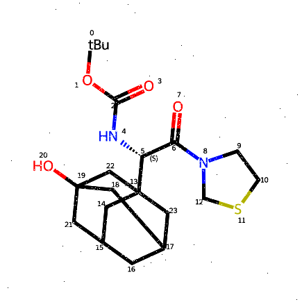 CC(C)(C)OC(=O)N[C@H](C(=O)N1CCSC1)C12CC3CC(CC(O)(C3)C1)C2